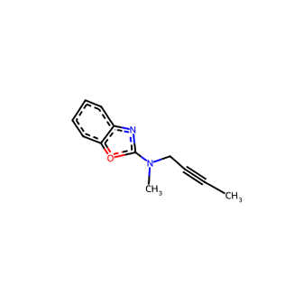 CC#CCN(C)c1nc2ccccc2o1